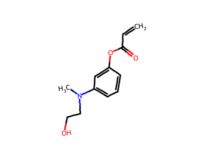 C=CC(=O)Oc1cccc(N(C)CCO)c1